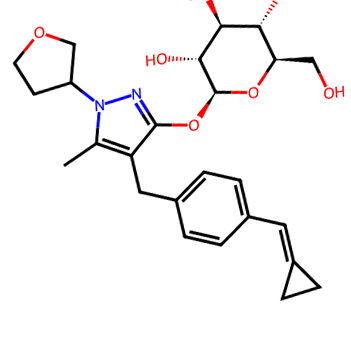 Cc1c(Cc2ccc(C=C3CC3)cc2)c(O[C@@H]2O[C@H](CO)[C@@H](O)[C@H](O)[C@H]2O)nn1C1CCOC1